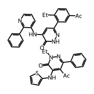 CCc1ccc(C(C)=O)cc1-c1cc(Nc2cccnc2-c2ccccc2)c(=O)[nH]n1.CCn1nc(-c2ccccc2)c(C(C)=O)c(Nc2cccs2)c1=O